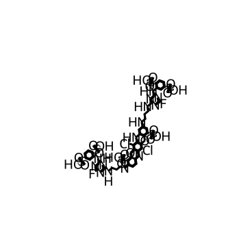 O=S(=O)(O)c1ccc(S(=O)(=O)O)c(Nc2nc(F)nc(NCCCN=c3ccc4nc5c(Cl)c6c(c(Cl)c5oc-4c3S(=O)(=O)O)Nc3cc(NCCCNc4nc(F)nc(Nc5cc(S(=O)(=O)O)ccc5S(=O)(=O)O)n4)cc(S(=O)(=O)O)c3O6)n2)c1